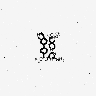 CCOC(=O)[C@@H]1CC2(CCN(c3cc(O[C@H](c4ccc(-c5ccc6ccncc6c5)cc4)C(F)(F)F)nc(N)n3)CC2)CN1